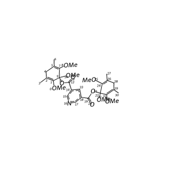 COC1=C(C)CC(C)=C(OC)C1(OC)OC(=O)c1cncc(C(=O)OC2(OC)C(OC)=C(C)CC(C)=C2OC)c1